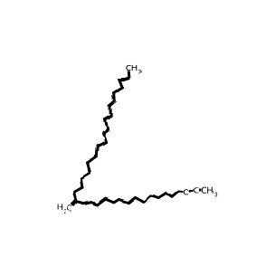 C=C(CCCCCCCCCCCCCCCCC)CCCCCCCCCCCCCCCCC=CC